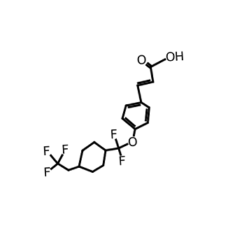 O=C(O)C=Cc1ccc(OC(F)(F)C2CCC(CC(F)(F)F)CC2)cc1